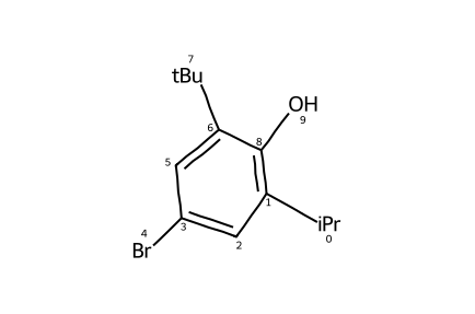 CC(C)c1cc(Br)cc(C(C)(C)C)c1O